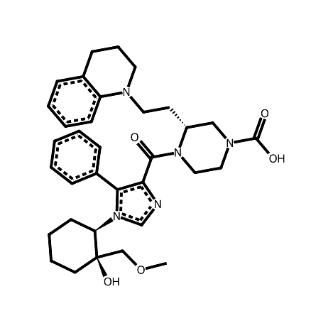 COC[C@]1(O)CCCC[C@H]1n1cnc(C(=O)N2CCN(C(=O)O)C[C@H]2CCN2CCCc3ccccc32)c1-c1ccccc1